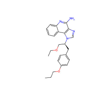 CCCOc1ccc(C[C@@H](COCC)n2cnc3c(N)nc4ccccc4c32)cc1